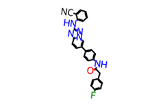 N#Cc1ccccc1Nc1nc2ccc(-c3ccc(NC(=O)Cc4ccc(F)cc4)cc3)cn2n1